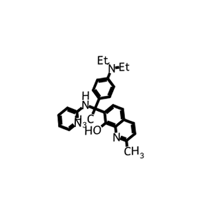 CCN(CC)c1ccc(C(C)(Nc2ccccn2)c2ccc3ccc(C)nc3c2O)cc1